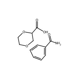 NC(=O)c1ccccc1.O=C(O)C1COCCO1